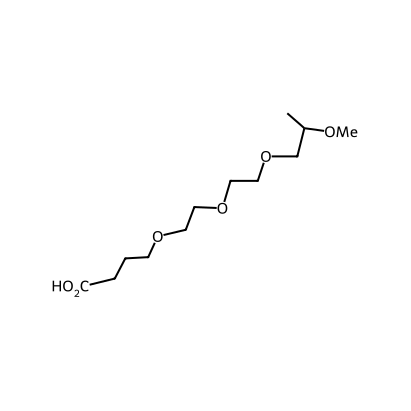 COC(C)COCCOCCOCCCC(=O)O